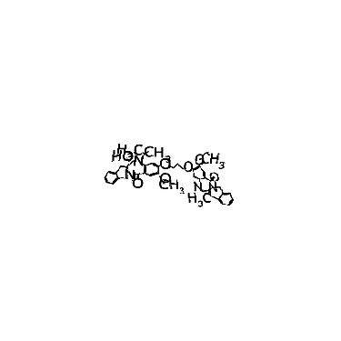 COc1cc2c(cc1OCCCOc1cc3c(cc1OC)C(=O)N1Cc4ccccc4CC1C(O)N3C(C)C)N=CC1(C)Cc3ccccc3CN1C2=O